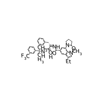 CCc1cn(C)c2c(N3CCCC3=O)cc(C(=O)N[C@@H](Cc3ccccc3)[C@@H](O)CNC(C)(C)c3cccc(C(F)(F)F)c3)cc12